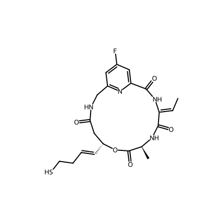 C/C=C1\NC(=O)c2cc(F)cc(n2)CNC(=O)C[C@@H](/C=C/CCS)OC(=O)[C@H](C)NC1=O